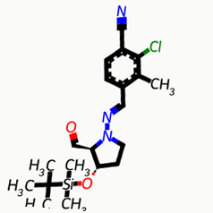 Cc1c(/C=N/N2CC[C@H](O[Si](C)(C)C(C)(C)C)[C@H]2C=O)ccc(C#N)c1Cl